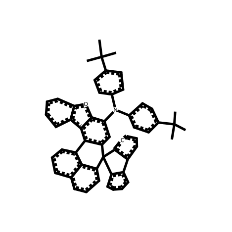 CC(C)(C)c1ccc(N(c2ccc(C(C)(C)C)cc2)c2cc3c(c4c2oc2ccccc24)-c2cccc4cccc(c24)C32c3ccccc3-c3ccccc32)cc1